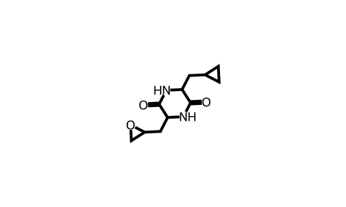 O=C1NC(CC2CO2)C(=O)NC1CC1CC1